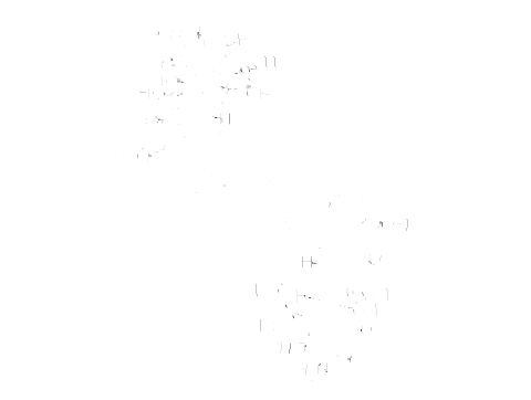 CN(C)[C@@H]1C(O)=C(C(N)=O)C(=O)[C@@]2(O)C(O)=C3C(=O)c4c(O)ccc(C#CCCC#Cc5ccc(O)c6c5C[C@H]5C[C@H]7[C@H](N(C)C)C(O)=C(C(=O)O)C(=O)[C@@]7(O)C(O)=C5C6=O)c4C[C@H]3C[C@@H]12